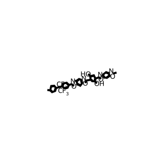 Cc1ccc(C(c2ccc(-c3nc4cc5nc(-c6cc(O)c(-c7nc8cc9nc(C)oc9cc8o7)cc6O)oc5cc4o3)cc2)(C(F)(F)F)C(F)(F)F)cc1